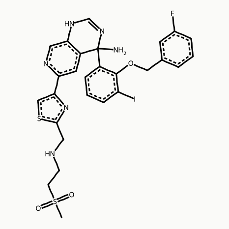 CS(=O)(=O)CCNCc1nc(-c2cc3c(cn2)NC=NC3(N)c2cccc(I)c2OCc2cccc(F)c2)cs1